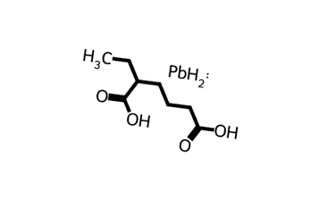 CCC(CCCC(=O)O)C(=O)O.[PbH2]